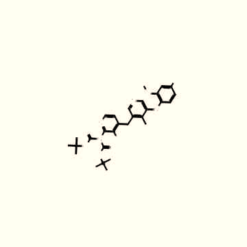 COc1cc(Cl)ccc1Nc1cncc(Cc2ccnc(N(C(=O)OC(C)(C)C)C(=O)OC(C)(C)C)c2F)c1C